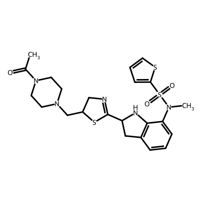 CC(=O)N1CCN(CC2CN=C(C3Cc4cccc(N(C)S(=O)(=O)c5cccs5)c4N3)S2)CC1